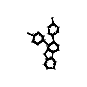 Cc1ccc(-c2ccc3c(c2-c2ccc(C)cc2)Cc2ccccc2-3)cc1